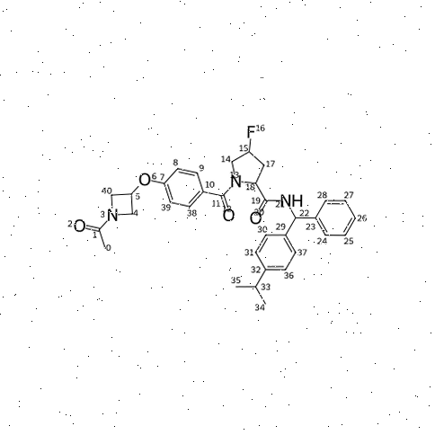 CC(=O)N1CC(Oc2ccc(C(=O)N3CC(F)CC3C(=O)NC(c3ccccc3)c3ccc(C(C)C)cc3)cc2)C1